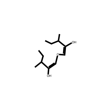 CCC(C)/C(O)=C\O/C=C(/O)C(C)CC